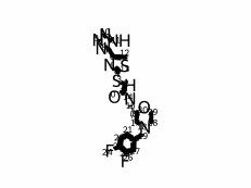 O=C(CSc1nc(-c2nnn[nH]2)cs1)NC[C@H]1CN(Cc2ccc(F)c(F)c2)CCO1